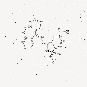 CN=S(=O)(NCCNC1c2ccccc2CCc2ccccc21)c1ccc(OC(F)(F)F)cc1